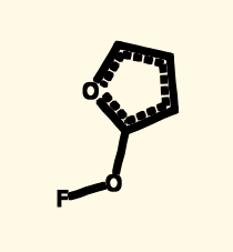 FOc1ccco1